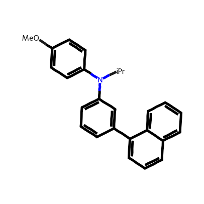 COc1ccc(N(c2cccc(-c3cccc4ccccc34)c2)C(C)C)cc1